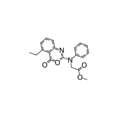 CCc1cccc2nc(N(CC(=O)OC)c3ccccc3)oc(=O)c12